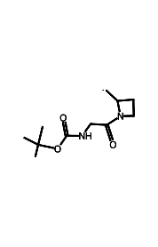 [CH2]C1CCN1C(=O)CNC(=O)OC(C)(C)C